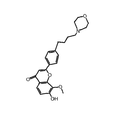 COc1c(O)ccc2c(=O)cc(-c3ccc(CCCCN4CCOCC4)cc3)oc12